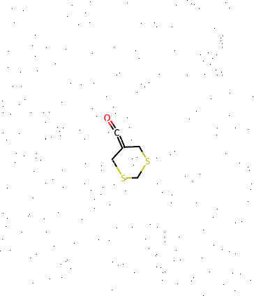 O=C=C1CSCSC1